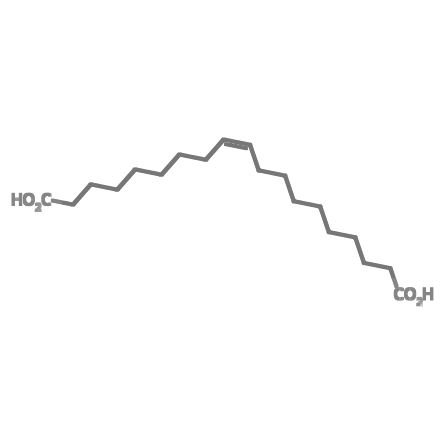 O=C(O)CCCCCCC/C=C\CCCCCCCCC(=O)O